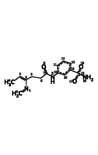 C=N/C(=C\C)CCC(=O)Nc1cccc(S(N)(=O)=O)c1